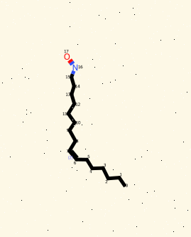 CCCCCC/C=C\CCCCCCCCN=O